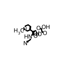 CN1CCC=C(c2cnoc2NCC#N)C1.O=C(O)C(=O)O